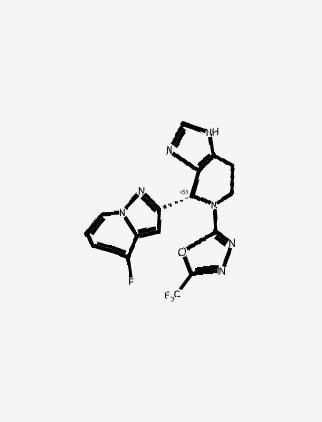 Fc1cccn2nc([C@@H]3c4nc[nH]c4CCN3c3nnc(C(F)(F)F)o3)cc12